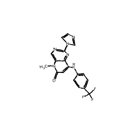 Cn1c(=O)cc(Nc2ccc(C(F)(F)F)cc2)c2nc(-n3ccnc3)ncc21